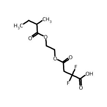 CCC(C)C(=O)OCCOC(=O)CC(F)(F)C(=O)O